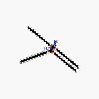 CCCCCCCCCCCCCCCCCCCCOCC(CN=[N+]=[N-])(COCCCCCCCCCCCCCCCCCCCC)CC(N)C(C)(COCCCCCCCCCCCCCCCCCCCC)COCCCCCCCCCCCCCCCCCCCC